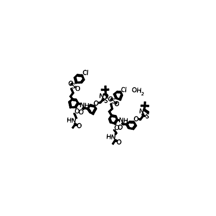 CC(=O)NCCOc1ccc(CCCS(=O)(=O)c2ccc(Cl)cc2)cc1NC(=O)c1cccc(OCc2nc(C(C)(C)C)cs2)c1.CC(=O)NCCOc1ccc(CCCS(=O)(=O)c2ccc(Cl)cc2)cc1NC(=O)c1cccc(OCc2nc(C(C)(C)C)cs2)c1.O